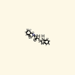 O=C(CSc1nc2ccccc2[nH]1)N/N=C/C1CC=CC=C1Br